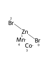 [Br][Zn][Br].[Co].[Mn]